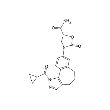 NC(=O)C1CN(c2ccc3c(c2)CCCc2cnn(C(=O)C4CC4)c2-3)C(=O)O1